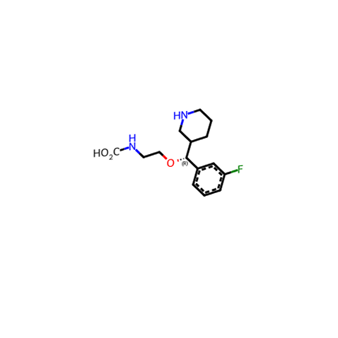 O=C(O)NCCO[C@@H](c1cccc(F)c1)C1CCCNC1